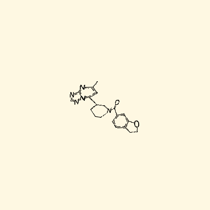 Cc1cc(C2CCCN(C(=O)c3ccc4c(c3)OCC4)C2)n2ncnc2n1